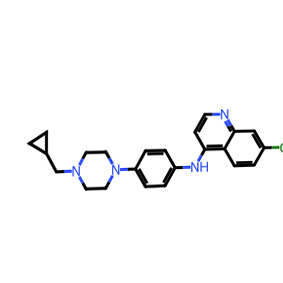 Clc1ccc2c(Nc3ccc(N4CCN(CC5CC5)CC4)cc3)ccnc2c1